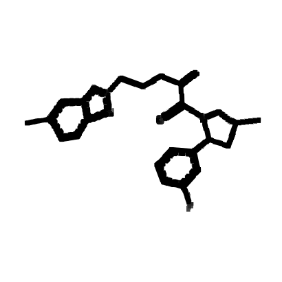 C=C(CCCn1cc2cc(C)ccc2n1)C(=O)N1CC(C)CC1c1cccc(F)c1